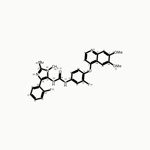 COc1cc2nccc(Oc3ccc(NC(=O)Nc4c(-c5ccccc5F)nc(C(C)(C)C)n4C)cc3F)c2cc1OC